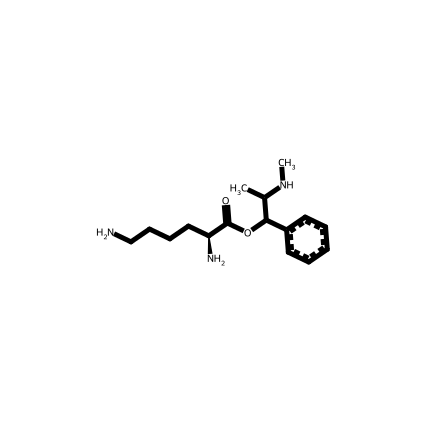 CNC(C)C(OC(=O)[C@@H](N)CCCCN)c1ccccc1